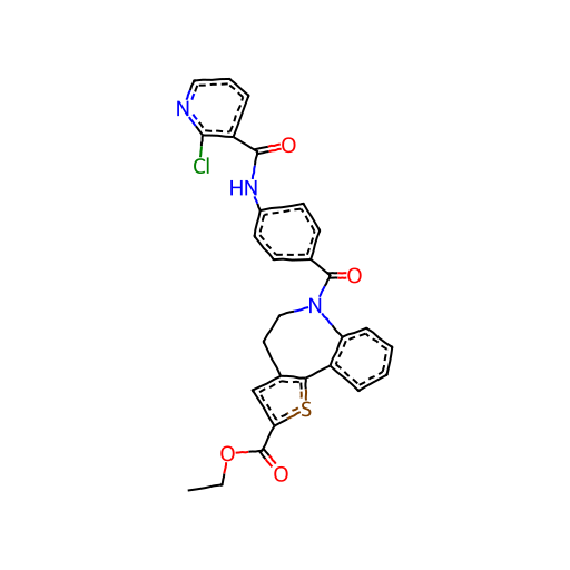 CCOC(=O)c1cc2c(s1)-c1ccccc1N(C(=O)c1ccc(NC(=O)c3cccnc3Cl)cc1)CC2